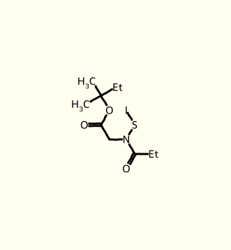 CCC(=O)N(CC(=O)OC(C)(C)CC)SI